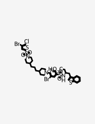 O=C(O)CC(Cc1csc2ccccc12)NS(=O)(=O)c1cnc(N2CCC(CCCC3CCN(S(=O)(=O)c4cc(Br)c(Cl)s4)CC3)CC2)c(Br)c1